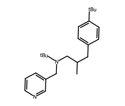 CC(Cc1ccc(C(C)(C)C)cc1)CN(Cc1cccnc1)C(C)(C)C